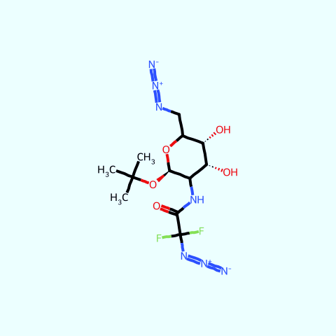 CC(C)(C)O[C@H]1OC(CN=[N+]=[N-])[C@H](O)[C@H](O)C1NC(=O)C(F)(F)N=[N+]=[N-]